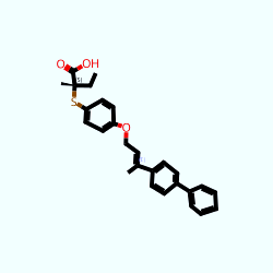 CC[C@](C)(Sc1ccc(OC/C=C(\C)c2ccc(-c3ccccc3)cc2)cc1)C(=O)O